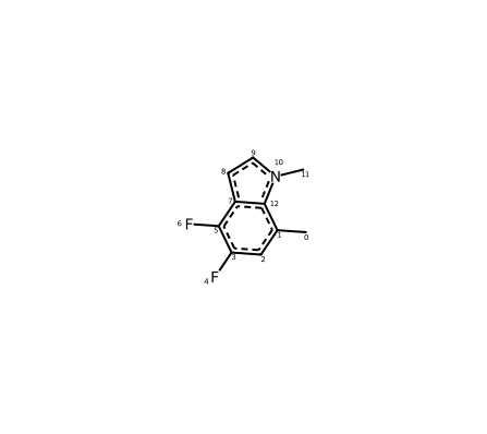 Cc1cc(F)c(F)c2ccn(C)c12